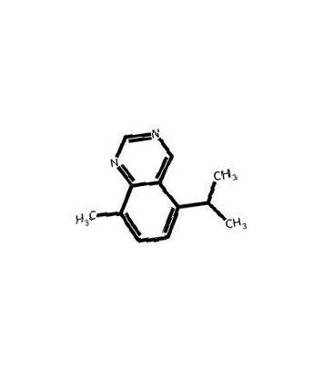 Cc1ccc(C(C)C)c2cncnc12